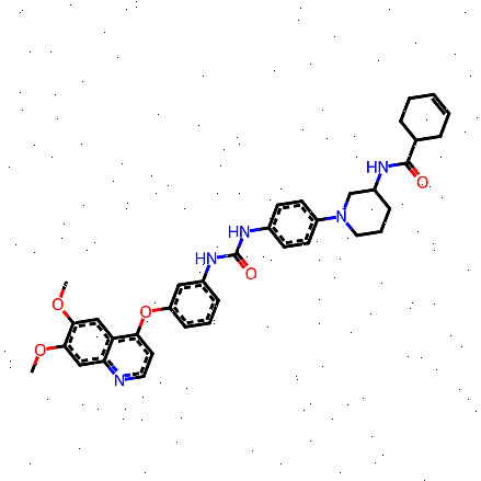 COc1cc2nccc(Oc3cccc(NC(=O)Nc4ccc(N5CCCC(NC(=O)C6CC=CCC6)C5)cc4)c3)c2cc1OC